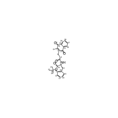 CC1=C(CCC(=O)N[C@@H](Cc2ccccc2)C(=O)OC(C)(C)C)C(=O)c2ccccc2C1=O